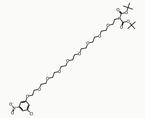 CC(C)(C)OC(=O)N(CCOCCOCCOCCOCCOCCOCCOCCOCCOc1cc(Cl)cc([N+](=O)[O-])c1)C(=O)OC(C)(C)C